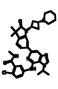 CNC(=O)c1cc(Nc2nc(-c3ccc4c(c3)N([C@H]3C[C@@H](N5CCCCC5)C3)C(=O)C4(C)C)cc3ncn(C(C)C)c23)ccc1Cl